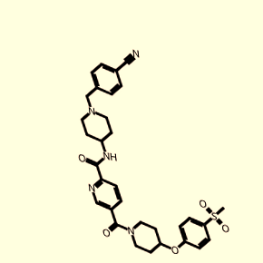 CS(=O)(=O)c1ccc(OC2CCN(C(=O)c3ccc(C(=O)NC4CCN(Cc5ccc(C#N)cc5)CC4)nc3)CC2)cc1